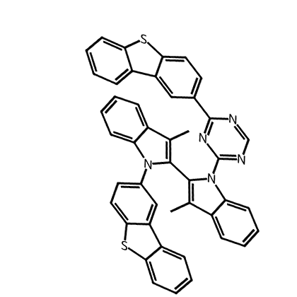 Cc1c(-c2c(C)c3ccccc3n2-c2ncnc(-c3ccc4sc5ccccc5c4c3)n2)n(-c2ccc3sc4ccccc4c3c2)c2ccccc12